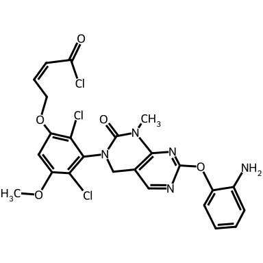 COc1cc(OC/C=C\C(=O)Cl)c(Cl)c(N2Cc3cnc(Oc4ccccc4N)nc3N(C)C2=O)c1Cl